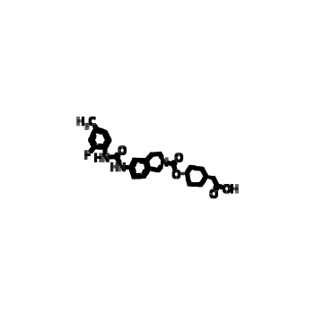 Cc1ccc(NC(=O)Nc2ccc3c(c2)CCN(C(=O)O[C@H]2CC[C@H](CC(=O)O)CC2)C3)c(F)c1